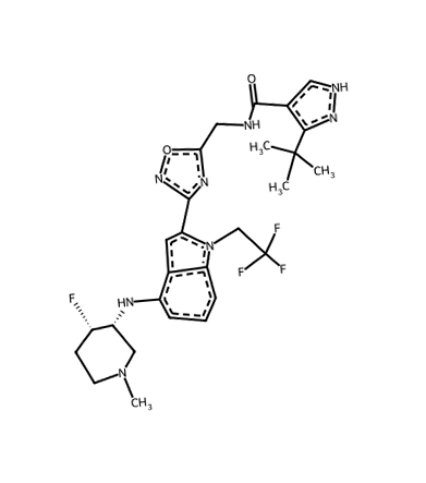 CN1CC[C@H](F)[C@H](Nc2cccc3c2cc(-c2noc(CNC(=O)c4c[nH]nc4C(C)(C)C)n2)n3CC(F)(F)F)C1